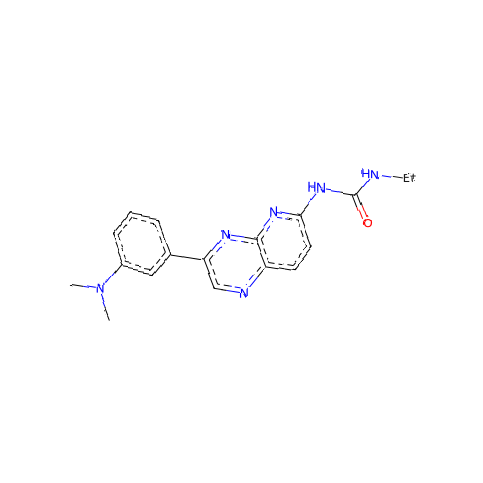 CCNC(=O)Nc1ccc2ncc(-c3cccc(N(C)C)c3)nc2n1